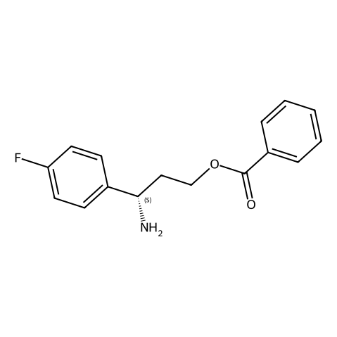 N[C@@H](CCOC(=O)c1ccccc1)c1ccc(F)cc1